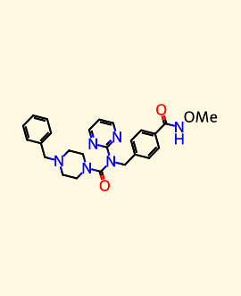 CONC(=O)c1ccc(CN(C(=O)N2CCN(Cc3ccccc3)CC2)c2ncccn2)cc1